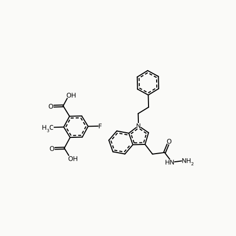 Cc1c(C(=O)O)cc(F)cc1C(=O)O.NNC(=O)Cc1cn(CCc2ccccc2)c2ccccc12